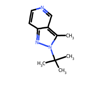 Cc1c2cnccc2nn1C(C)(C)C